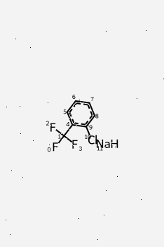 FC(F)(F)c1ccccc1Cl.[NaH]